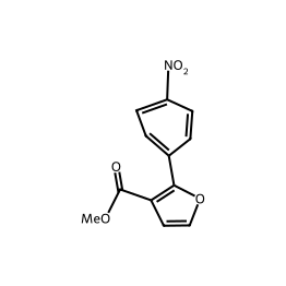 COC(=O)c1ccoc1-c1ccc([N+](=O)[O-])cc1